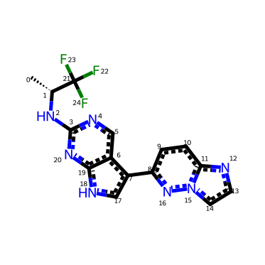 C[C@@H](Nc1ncc2c(-c3ccc4nccn4n3)c[nH]c2n1)C(F)(F)F